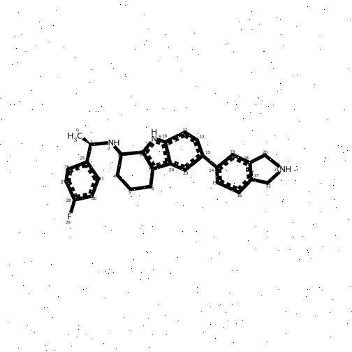 C[C@@H](NC1CCCc2c1[nH]c1ccc(-c3ccc4c(c3)CNC4)cc21)c1ccc(F)cc1